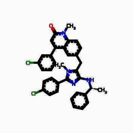 C[C@@H](Nc1nc(-c2ccc(Cl)cc2)n(C)c1Cc1ccc2c(c1)c(-c1cccc(Cl)c1)cc(=O)n2C)c1ccccc1